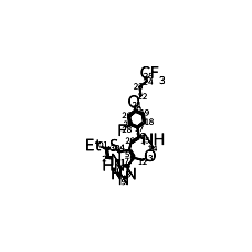 CCc1cnc(C2=C(\c3nnn[nH]3)COCN/C(c3ccc(OCCCC(F)(F)F)cc3F)=C\2)s1